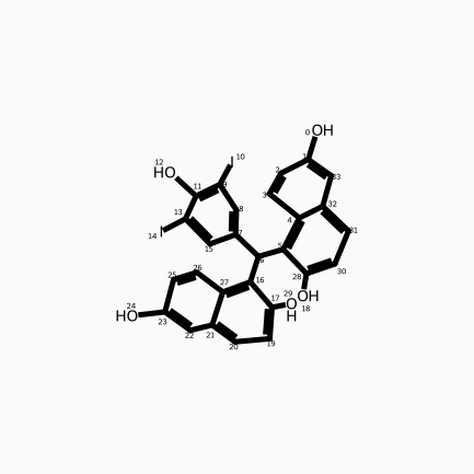 Oc1ccc2c(C(c3cc(I)c(O)c(I)c3)c3c(O)ccc4cc(O)ccc34)c(O)ccc2c1